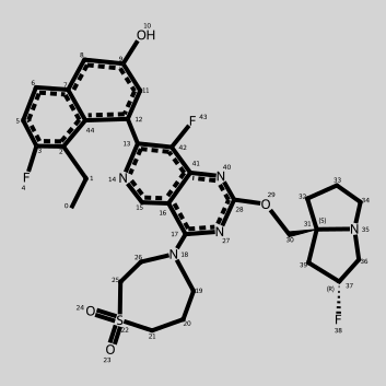 CCc1c(F)ccc2cc(O)cc(-c3ncc4c(N5CCCS(=O)(=O)CC5)nc(OC[C@@]56CCCN5C[C@H](F)C6)nc4c3F)c12